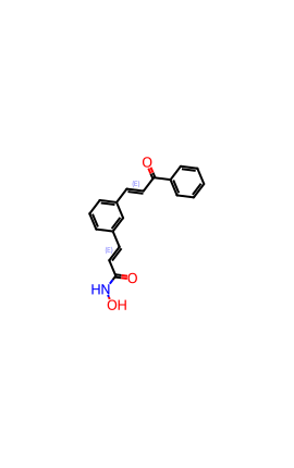 O=C(/C=C/c1cccc(/C=C/C(=O)c2ccccc2)c1)NO